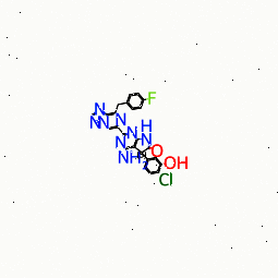 C[C@@]1(c2ccc(Cl)c(O)c2)C(=O)Nc2nc(-c3cn4ncnc4c(Cc4ccc(F)cc4)n3)nc(N)c21